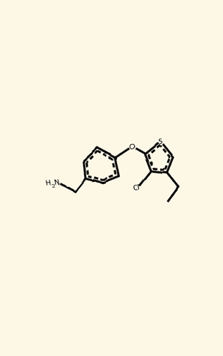 CCc1csc(Oc2ccc(CN)cc2)c1Cl